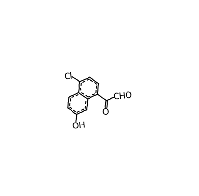 O=CC(=O)c1ccc(Cl)c2ccc(O)cc12